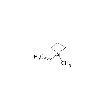 C=C[Si]1(C)CCC1